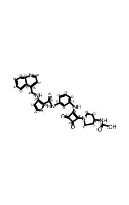 O=C(O)NC1CCN(c2c(Nc3cccc(NC(=O)c4sccc4NCc4ccnc5ccccc45)c3)c(=O)c2=O)CC1